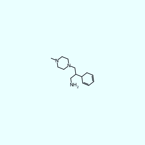 CN1CCN(CC(CN)C2C=CC=CC2)CC1